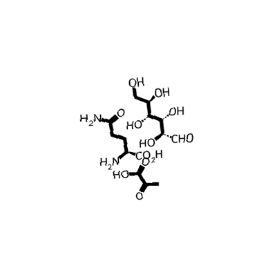 CC(=O)C(=O)O.NC(=O)CC[C@H](N)C(=O)O.O=C[C@H](O)[C@@H](O)[C@H](O)[C@H](O)CO